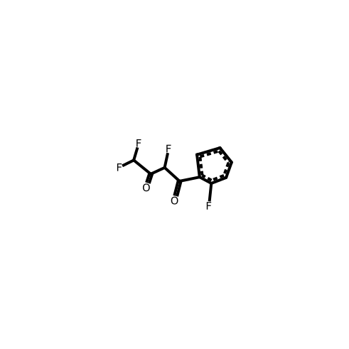 O=C(c1ccccc1F)C(F)C(=O)C(F)F